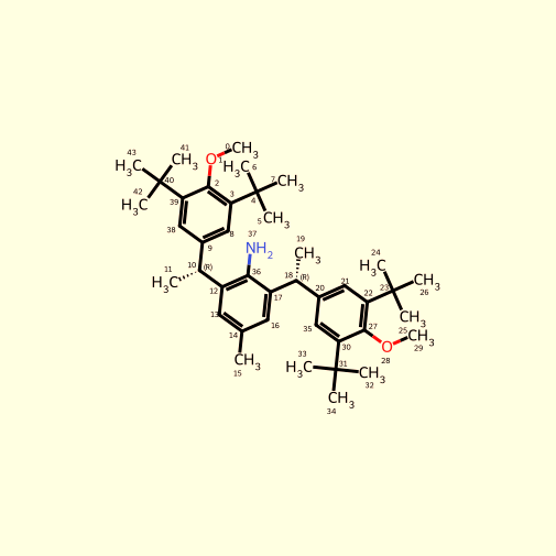 COc1c(C(C)(C)C)cc([C@@H](C)c2cc(C)cc([C@H](C)c3cc(C(C)(C)C)c(OC)c(C(C)(C)C)c3)c2N)cc1C(C)(C)C